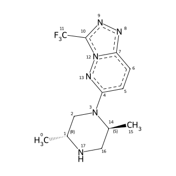 C[C@@H]1CN(c2ccc3nnc(C(F)(F)F)n3n2)[C@@H](C)CN1